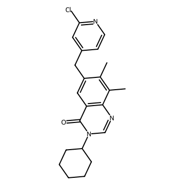 Cc1c(Cc2ccnc(Cl)c2)cc2c(=O)n(C3CCCCC3)cnc2c1C